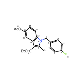 CCOC(=O)c1c(C)n(Cc2ccc(F)cc2)c2ccc(OC(C)=O)cc12